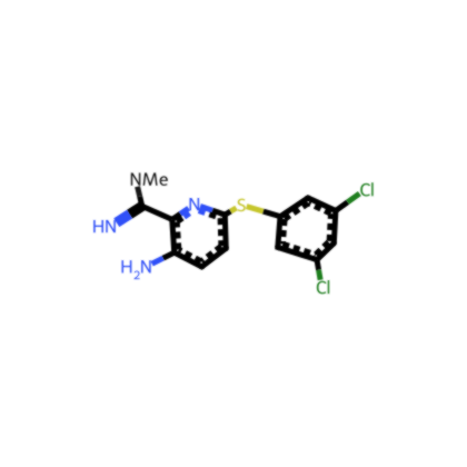 CNC(=N)c1nc(Sc2cc(Cl)cc(Cl)c2)ccc1N